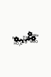 COc1cccc(OC)c1-c1cc(C(=O)NC(CCc2ccc(F)cc2)CC(=O)O)nn1C1CCCC1